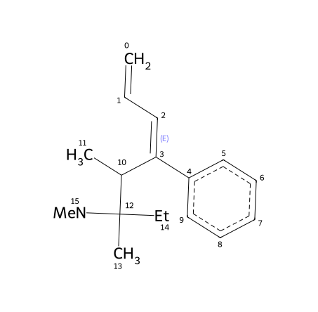 C=C/C=C(/c1ccccc1)C(C)C(C)(CC)NC